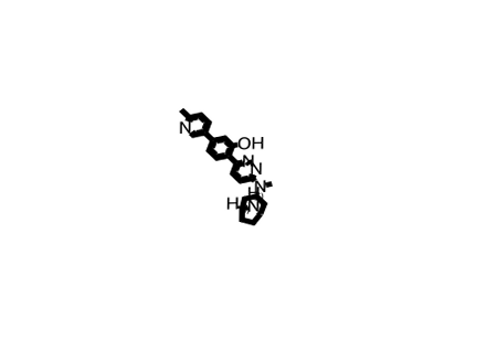 Cc1ccc(-c2ccc(-c3ccc(N(C)[C@H]4CC5CC[C@H](C4)N5)nn3)c(O)c2)cn1